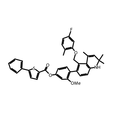 COc1cc(OC(=O)c2ccc(-c3ccccc3)s2)ccc1-c1ccc2c(c1COc1cc(F)ccc1C)C(C)=CC(C)(C)N2